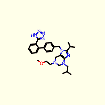 COCCN1Cc2c(nc(C(C)C)n2Cc2ccc(-c3ccccc3-c3nnn[nH]3)cc2)N(CC(C)C)C1